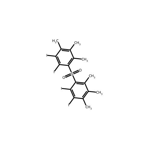 Cc1c(C)c(I)c(I)c(S(=O)(=O)c2c(C)c(C)c(C)c(I)c2I)c1C